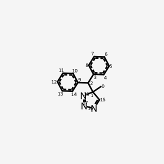 CC1(C(c2ccccc2)c2ccccc2)C=NN=N1